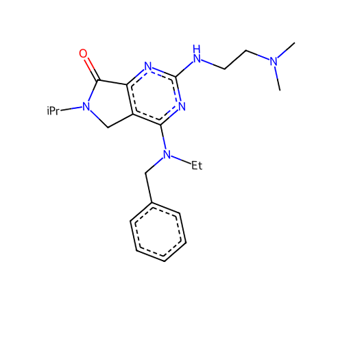 CCN(Cc1ccccc1)c1nc(NCCN(C)C)nc2c1CN(C(C)C)C2=O